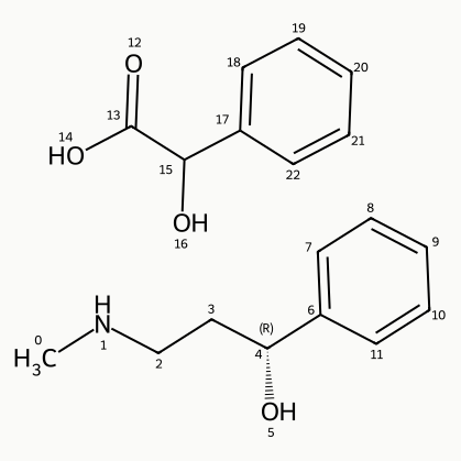 CNCC[C@@H](O)c1ccccc1.O=C(O)C(O)c1ccccc1